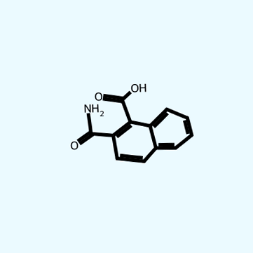 NC(=O)c1ccc2ccccc2c1C(=O)O